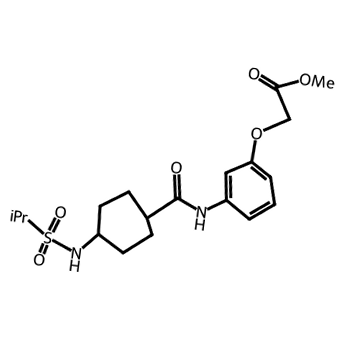 COC(=O)COc1cccc(NC(=O)C2CCC(NS(=O)(=O)C(C)C)CC2)c1